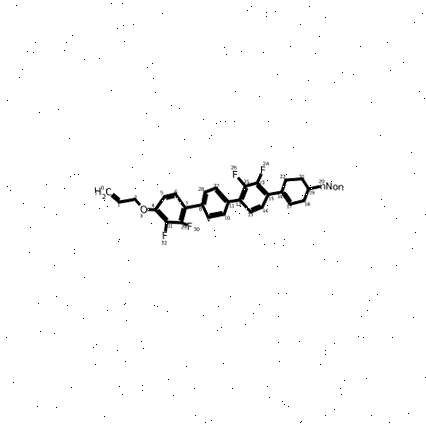 C=CCOc1ccc(-c2ccc(-c3ccc(C4=CCC(CCCCCCCCC)CC4)c(F)c3F)cc2)c(F)c1F